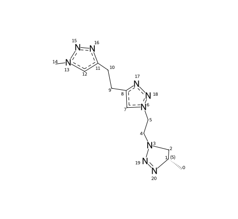 C[C@H]1CN(CCn2cc(CCc3cn(C)nn3)nn2)N=N1